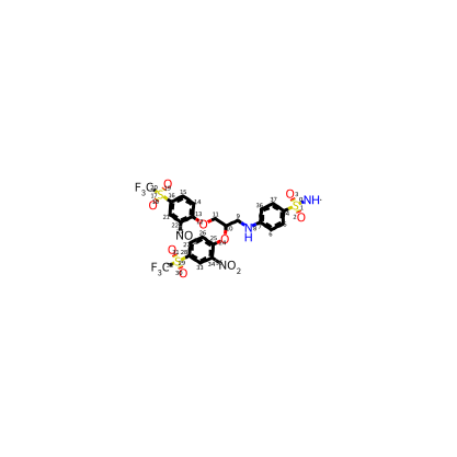 [NH]S(=O)(=O)c1ccc(NCC(COc2ccc(S(=O)(=O)C(F)(F)F)cc2[N+](=O)[O-])Oc2ccc(S(=O)(=O)C(F)(F)F)cc2[N+](=O)[O-])cc1